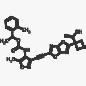 Cc1ccccc1C(C)OC(=O)Nc1c(C#Cc2nc3oc(C4(C(=O)O)COC4)nc3o2)noc1C